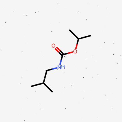 CC(C)[CH]NC(=O)OC(C)C